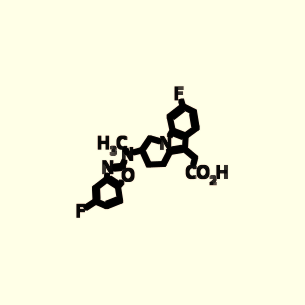 CN(c1nc2cc(F)ccc2o1)C1CCc2c(CC(=O)O)c3ccc(F)cc3n2C1